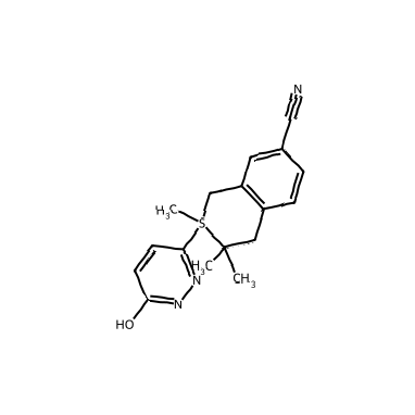 CC1(C)Cc2ccc(C#N)cc2CS1(C)c1ccc(O)nn1